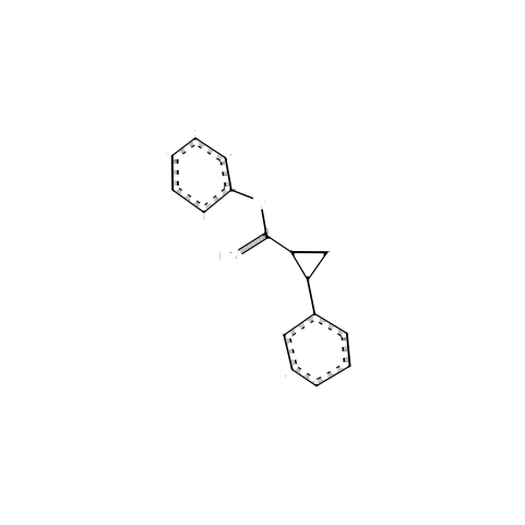 N=C(Oc1ccccc1)C1CC1c1ccccc1